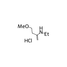 C=C(CCOC)NCC.Cl